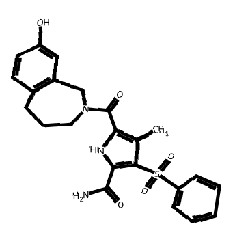 Cc1c(C(=O)N2CCCc3ccc(O)cc3C2)[nH]c(C(N)=O)c1S(=O)(=O)c1ccccc1